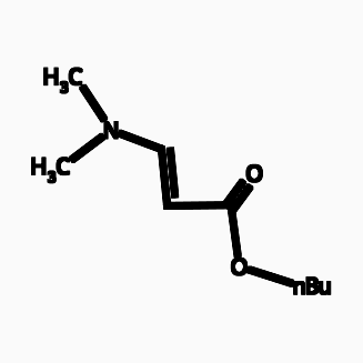 CCCCOC(=O)/C=C/N(C)C